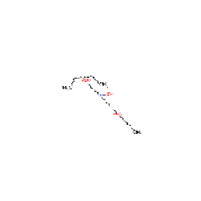 CCCC/C=C\CCC(CC/C=C\CCCC)OC(=O)CCCCCCCN(CCO)CCCCCCCCC(=O)OCCCCCCCCC